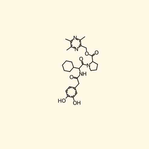 Cc1nc(C)c(COC(=O)C2CCCN2C(=O)C(NC(=O)Cc2ccc(O)c(O)c2)C2CCCCC2)nc1C